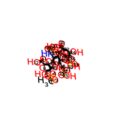 CS(=O)(=O)O[C@H]1C(O)O[C@@H](C(=O)O)C(O[C@H]2O[C@H](COS(=O)(=O)O)C(O[C@@H]3OC(C(=O)O)=C[C@H](O)[C@H]3OS(=O)(=O)O)[C@H](O)[C@H]2NS(=O)(=O)O)[C@@H]1O